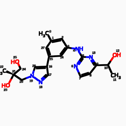 Cc1cc(Nc2nccc(C(C)O)n2)cc(-c2cnn(C[C@](C)(O)CO)c2)c1